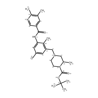 Cc1cc(C(=O)Nc2cc(Cl)cc(CN3CCN(C(=O)OC(C)(C)C)C(C)C3)c2C)cnc1C